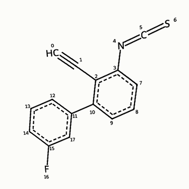 C#Cc1c(N=C=S)cccc1-c1cccc(F)c1